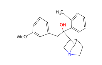 COc1cccc(CC(O)(c2ccccc2C)C2CN3CCC2CC3)c1